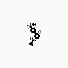 O=C(O)c1ccc(-c2cc(NC(=O)C3CC3)ccc2Cl)cc1